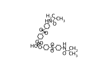 C=C(C)C(=O)Nc1ccc(S(=O)(=O)c2ccc(OP(=O)(O)Oc3ccc(S(=O)(=O)c4ccc(NC(=O)C(=C)C)cc4)cc3)cc2)cc1